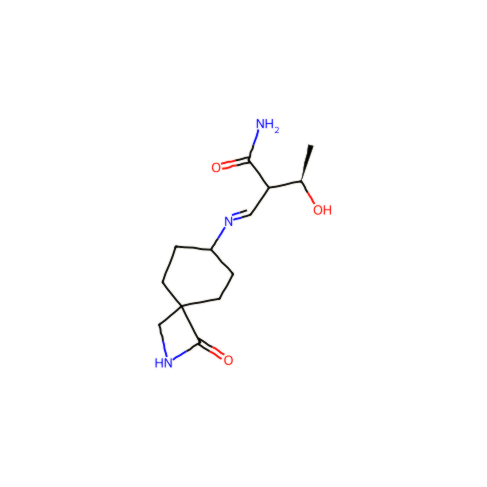 C[C@@H](O)C(/C=N/C1CCC2(CC1)CNC2=O)C(N)=O